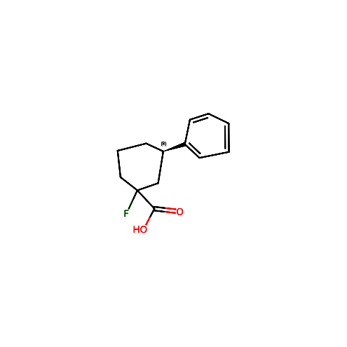 O=C(O)C1(F)CCC[C@@H](c2ccccc2)C1